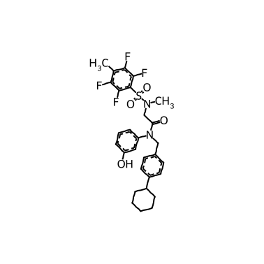 Cc1c(F)c(F)c(S(=O)(=O)N(C)CC(=O)N(Cc2ccc(C3CCCCC3)cc2)c2cccc(O)c2)c(F)c1F